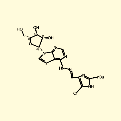 CCCCc1nc(C=NNc2ncnc3c2ncn3[C@@H]2O[C@H](CO)[C@@H](O)[C@H]2O)c(Cl)[nH]1